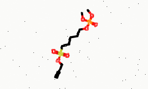 C#CCOS(=O)(=O)CCCCCOP(=O)(OC)OC